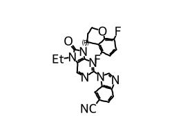 CCn1c(=O)n([C@@H]2CCOc3c(F)ccc(F)c32)c2nc(-n3cnc4ccc(C#N)cc43)ncc21